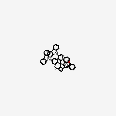 c1cc2c(c(-n3c4ccccc4c4ccccc43)c1)C1(c3ccc(-n4c5ccccc5c5ccccc54)cc3S2)c2cccnc2-c2ncc(-n3c4ccccc4c4ccccc43)cc21